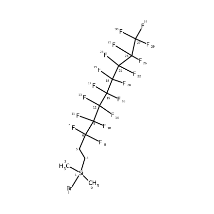 C[Si](C)(Br)CCC(F)(F)C(F)(F)C(F)(F)C(F)(F)C(F)(F)C(F)(F)C(F)(F)C(F)(F)F